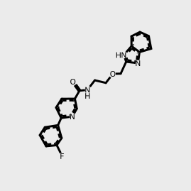 O=C(NCCOCc1nc2ccccc2[nH]1)c1ccc(-c2cccc(F)c2)nc1